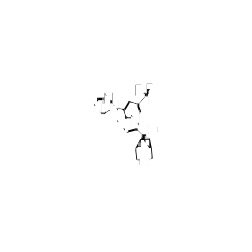 O=C(c1cnc2c(-n3cncn3)cc(C(F)(F)F)cn12)N1C2CCC1COC2